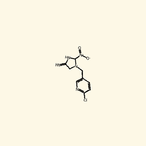 N=C1CN(Cc2ccc(Cl)nc2)C([N+](=O)[O-])N1